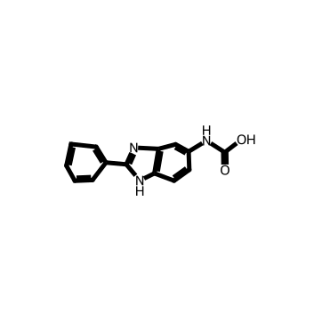 O=C(O)Nc1ccc2[nH]c(-c3ccccc3)nc2c1